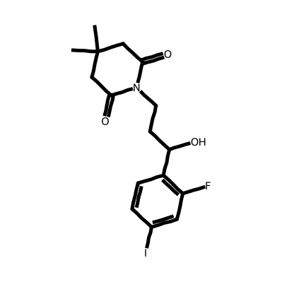 CC1(C)CC(=O)N(CCC(O)c2ccc(I)cc2F)C(=O)C1